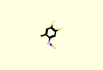 Cc1cc(F)c(F)cc1N=O